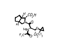 C[C@@H](OC1(C)CC1)[C@H](NC(=O)C(F)(F)F)C(=O)N1C[C@@H]2CCC[C@@H]2[C@H]1C(=O)O